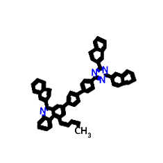 C/C=C\C=C/c1cc(-c2ccc(-c3ccc(-c4nc(-c5ccc6ccccc6c5)nc(-c5ccc6ccccc6c5)n4)cc3)cc2)cc2c(-c3ccc4ccccc4c3)nc3ccccc3c12